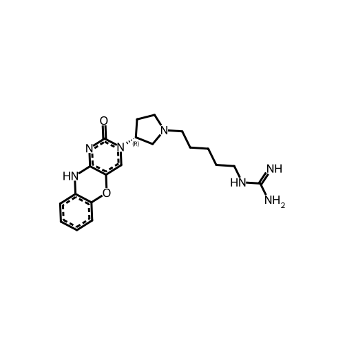 N=C(N)NCCCCCN1CC[C@@H](n2cc3c(nc2=O)Nc2ccccc2O3)C1